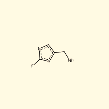 [NH]Cc1cnc(F)s1